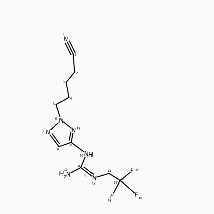 N#CCCCCn1ncc(N/C(N)=N\CC(F)(F)F)n1